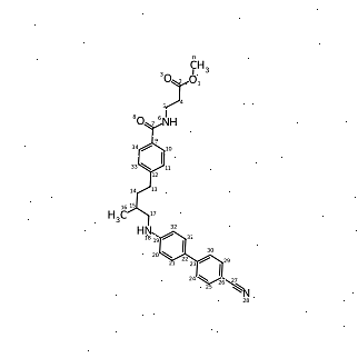 COC(=O)CCNC(=O)c1ccc(CCC(C)CNc2ccc(-c3ccc(C#N)cc3)cc2)cc1